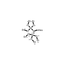 CCCCCC[SiH]([Si](OCC)(OCC)OCC)[Si](OCC)(OCC)OCC